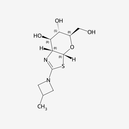 CC1CN(C2=N[C@@H]3[C@@H](O)[C@H](O)[C@@H](CO)O[C@@H]3S2)C1